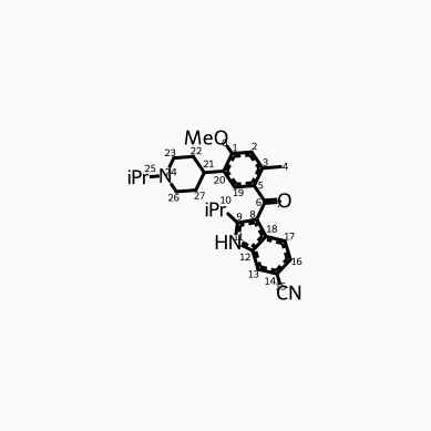 COc1cc(C)c(C(=O)c2c(C(C)C)[nH]c3cc(C#N)ccc23)cc1C1CCN(C(C)C)CC1